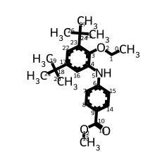 CCOc1c(Nc2ccc(C(=O)OC)cc2)cc(C(C)(C)C)cc1C(C)(C)C